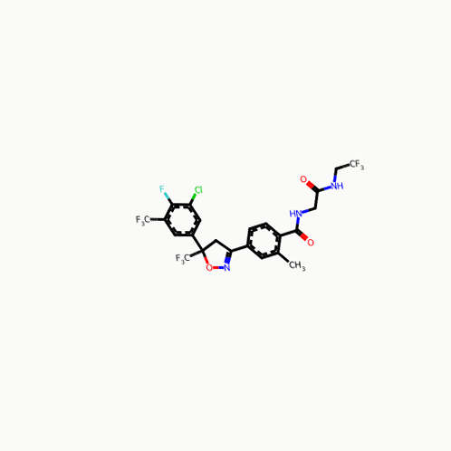 Cc1cc(C2=NOC(c3cc(Cl)c(F)c(C(F)(F)F)c3)(C(F)(F)F)C2)ccc1C(=O)NCC(=O)NCC(F)(F)F